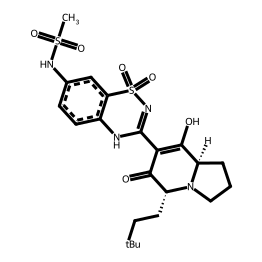 CC(C)(C)CC[C@@H]1C(=O)C(C2=NS(=O)(=O)c3cc(NS(C)(=O)=O)ccc3N2)=C(O)[C@H]2CCCN12